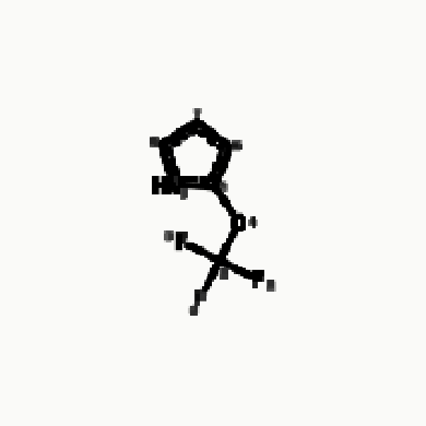 FC(F)(F)Oc1cc[c][nH]1